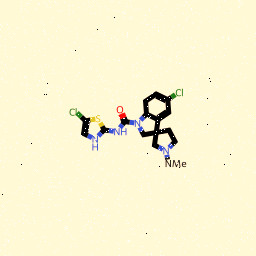 CNN1CCC2(C1)CN(C(=O)NC1NC=C(Cl)S1)C1CC=C(Cl)C=C12